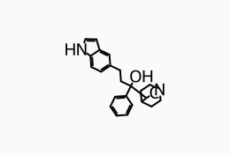 OC(CCc1ccc2[nH]ccc2c1)(c1ccccc1)C1CN2CCC1CC2